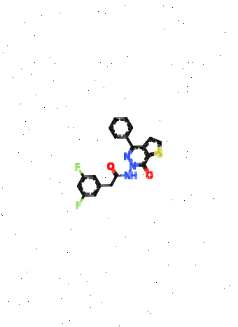 O=C(Cc1cc(F)cc(F)c1)Nn1nc(-c2ccccc2)c2ccsc2c1=O